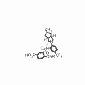 COc1ccc(C(=O)O)cc1S(=O)(=O)Nc1cc(C(F)(F)F)ccc1N1C[C@H]2CN(C)C[C@H]2C1